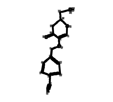 N#Cc1ccc(COC2=COC(CO)CC2=O)cc1